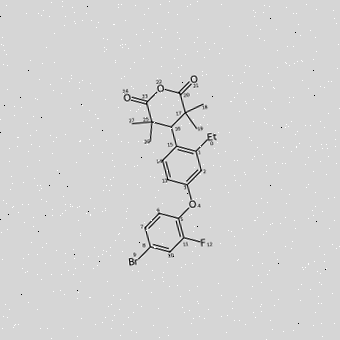 CCc1cc(Oc2ccc(Br)cc2F)ccc1C1C(C)(C)C(=O)OC(=O)C1(C)C